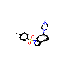 Cc1ccc(S(=O)(=O)n2ccc3ccc(N4CCN(C)CC4)cc32)cc1